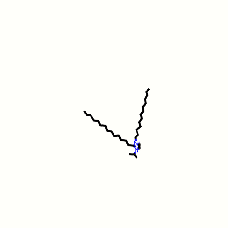 CCCCCCCCCCCCCCc1n(C(C)C)cc[n+]1CCCCCCCCCCCCCC